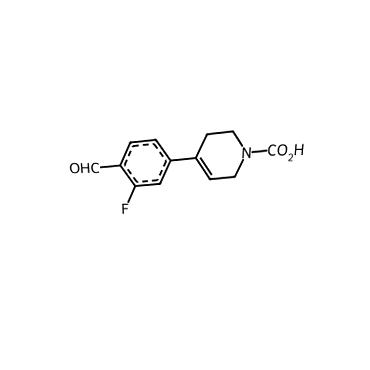 O=Cc1ccc(C2=CCN(C(=O)O)CC2)cc1F